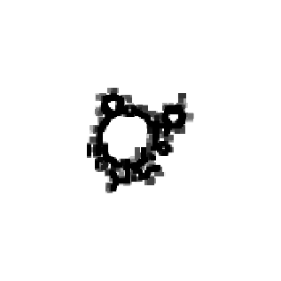 CC(C)C[C@@H]1NC(=O)[C@@H](C(C)C)NC(=O)[C@@H](Cc2ccc(F)cc2)NCCOc2ccccc2CCCNC1=O